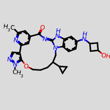 Cc1cc2cc(n1)-c1cnn(C)c1OCCCC(C1CC1)CN1/C(=N/C2=O)Nc2cc(NC3CC(O)C3)ccc21